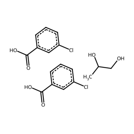 CC(O)CO.O=C(O)c1cccc(Cl)c1.O=C(O)c1cccc(Cl)c1